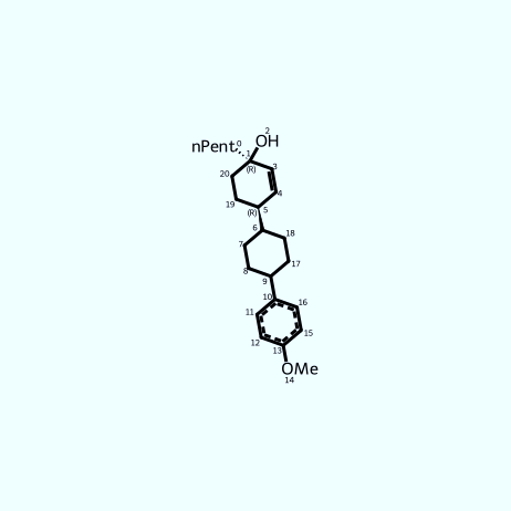 CCCCC[C@]1(O)C=C[C@@H](C2CCC(c3ccc(OC)cc3)CC2)CC1